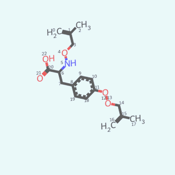 C=C(C)CONC(Cc1ccc(OOCC(=C)C)cc1)C(=O)O